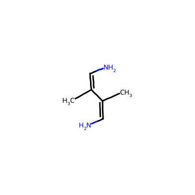 CC(=C/N)/C(C)=C\N